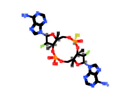 Nc1ncnc2c1ncn2[C@@H]1O[C@@H]2CO[P@](=O)(S)O[C@H]3[C@@H](F)[C@H](n4cnc5c(N)ncnc54)O[C@@H]3COP(=O)(O)O[C@H]2[C@H]1F